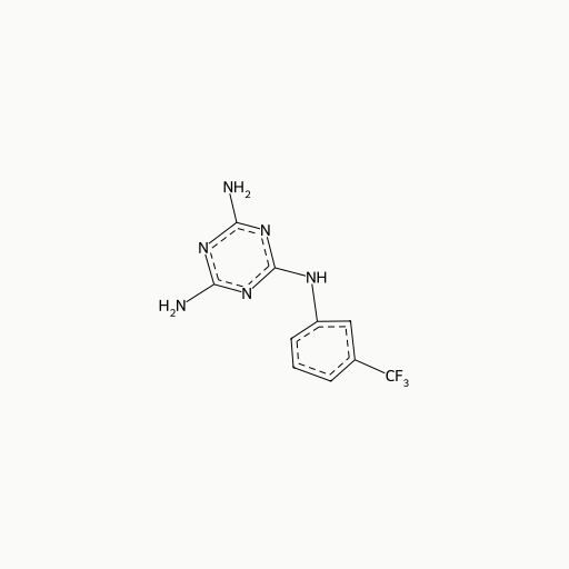 Nc1nc(N)nc(Nc2cccc(C(F)(F)F)c2)n1